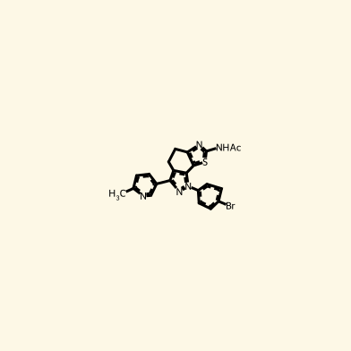 CC(=O)Nc1nc2c(s1)-c1c(c(-c3ccc(C)nc3)nn1-c1ccc(Br)cc1)CC2